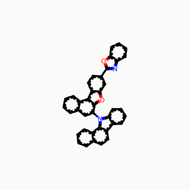 c1ccc2c(c1)cc(-n1c3ccccc3c3ccc4ccccc4c31)c1oc3cc(-c4nc5ccccc5o4)ccc3c12